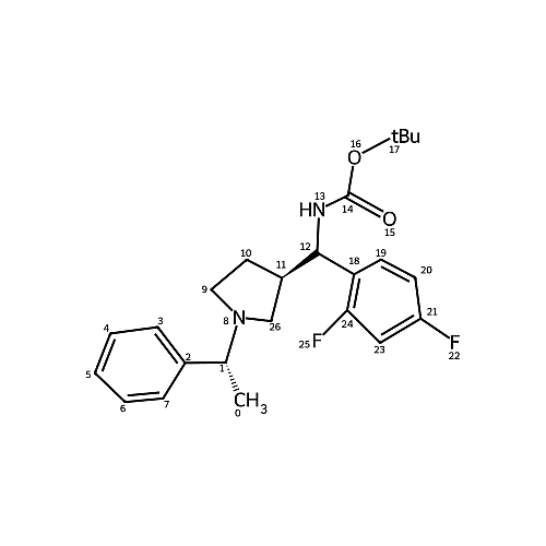 C[C@H](c1ccccc1)N1CC[C@@H](C(NC(=O)OC(C)(C)C)c2ccc(F)cc2F)C1